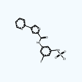 CCS(=O)(=O)Nc1cc(F)cc(NC(=O)c2cc(-c3ccccn3)cs2)c1